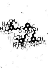 CC(C)(C)c1cc(CCC(=O)OC(=O)c2cccc(C(=O)OC(=O)CCc3cc(C(C)(C)C)c(O)c(C(C)(C)C)c3)c2C(=O)OC(=O)CCc2cc(C(C)(C)C)c(O)c(C(C)(C)C)c2)cc(C(C)(C)C)c1O